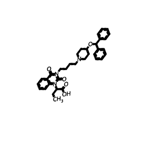 CCC(C(=O)O)n1c(=O)n(CCCCN2CCC(OC(c3ccccc3)c3ccccc3)CC2)c(=O)c2ccccc21